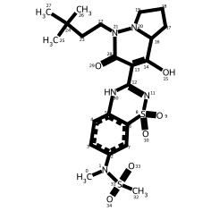 CN(c1ccc2c(c1)S(=O)(=O)N=C(C1=C(O)C3CCCN3N(CCC(C)(C)C)C1=O)N2)S(C)(=O)=O